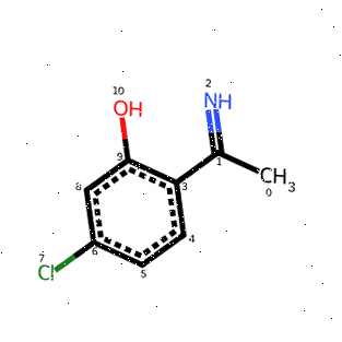 CC(=N)c1ccc(Cl)cc1O